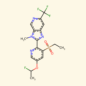 CCS(=O)(=O)c1cc(OC(C)F)cnc1-c1nc2cc(C(F)(F)F)ncc2n1C